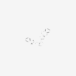 N[C@@H](CC(=O)N1CCC[C@H]1CNS(=O)(=O)c1ccccc1)Cc1ccccc1F